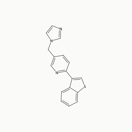 c1ccc2c(-c3ccc(Cn4ccnc4)cn3)csc2c1